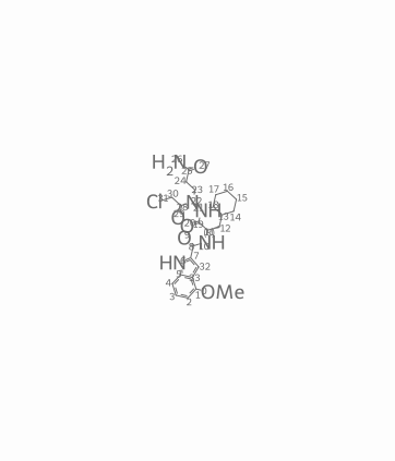 COc1cccc2[nH]c(C(=O)N[C@H](CC3CCCCC3)C(=O)NN(CCC(N)=O)C(=O)CCl)cc12